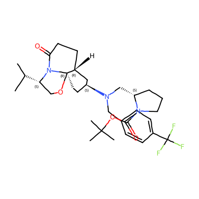 CC(C)[C@H]1CO[C@]23CC[C@H](N(Cc4ccc(C(F)(F)F)cc4)C[C@@H]4CCCN4C(=O)OC(C)(C)C)C[C@H]2CCC(=O)N13